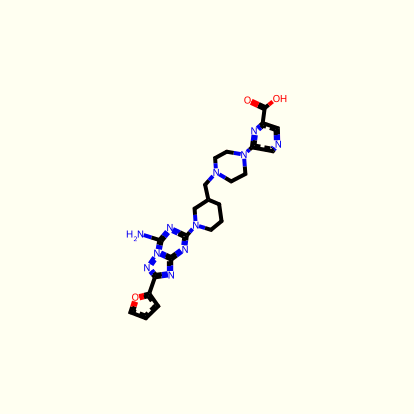 Nc1nc(N2CCCC(CN3CCN(c4cncc(C(=O)O)n4)CC3)C2)nc2nc(-c3ccco3)nn12